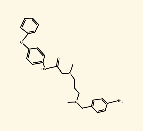 CN(CCCN(C)Cc1ccc(N)cc1)CC(=O)Nc1ccc(Oc2ccccc2)cc1